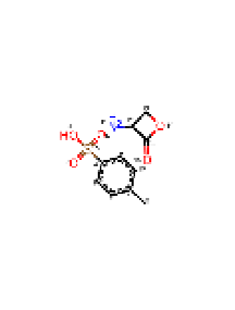 Cc1ccc(S(=O)(=O)O)cc1.NC1COC1=O